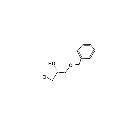 O[C@@H](CCl)COCc1ccccc1